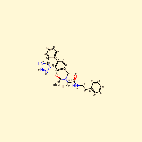 CCCCC(=O)N(Cc1ccc(-c2ccccc2-c2nnn[nH]2)cc1)[C@H](C(=O)NCCc1ccccc1)C(C)C